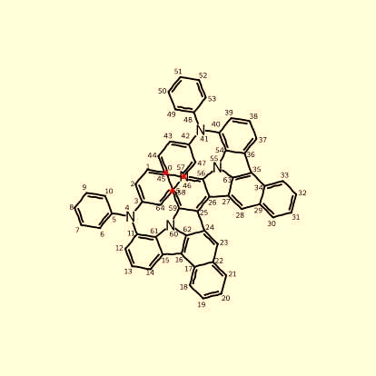 c1ccc(N(c2ccccc2)c2cccc3c4c5ccccc5cc5c6c7c8cc9ccccc9c9c%10cccc(N(c%11ccccc%11)c%11ccccc%11)c%10n(c7ncc6n(c23)c54)c89)cc1